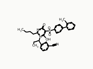 CCCCc1nc(=O)c(S(=O)(=O)c2ccc(-c3ccccc3C)cc2)c(O)n1C(CC)c1cccc(C#N)c1